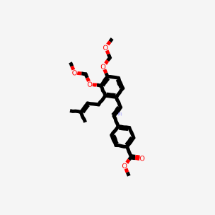 COCOc1ccc(/C=C/c2ccc(C(=O)OC)cc2)c(CC=C(C)C)c1OCOC